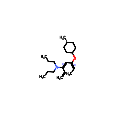 C=C/C(=C\C(=C/C)O[C@H]1CC[C@H](C)CC1)N(CCC)CCC